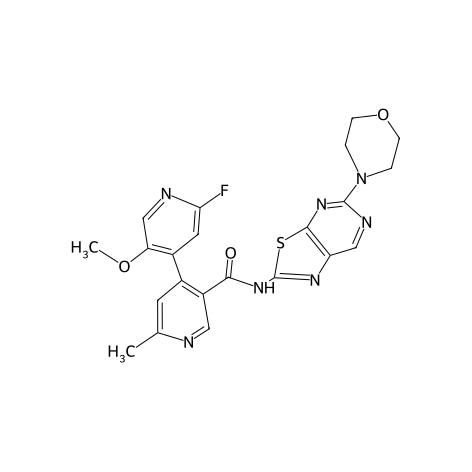 COc1cnc(F)cc1-c1cc(C)ncc1C(=O)Nc1nc2cnc(N3CCOCC3)nc2s1